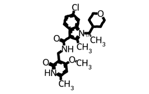 COc1cc(C)[nH]c(=O)c1CNC(=O)c1c(C)n([C@@H](C)C2CCOCC2)c2cc(Cl)ccc12